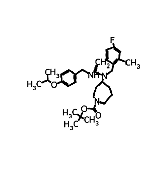 C=C(NCc1ccc(OC(C)C)cc1)N(Cc1ccc(F)cc1C)C1CCCN(C(=O)OC(C)(C)C)CC1